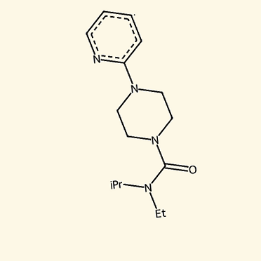 CCN(C(=O)N1CCN(c2c[c]ccn2)CC1)C(C)C